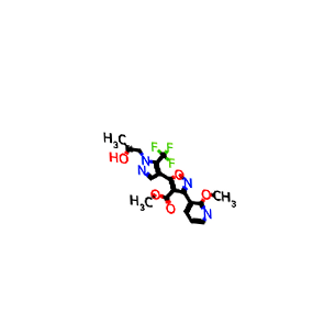 COC(=O)c1c(-c2cccnc2OC)noc1-c1cnn(C[C@@H](C)O)c1C(F)(F)F